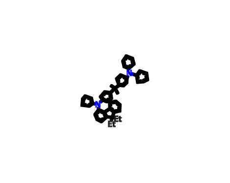 CCC1(CC)c2ccccc2-c2c(N(c3ccccc3)c3ccc(C(C)(C)c4ccc(N(c5ccccc5)c5ccccc5)cc4)cc3)cccc21